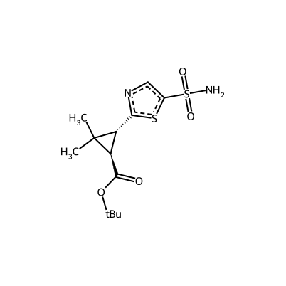 CC(C)(C)OC(=O)[C@@H]1[C@@H](c2ncc(S(N)(=O)=O)s2)C1(C)C